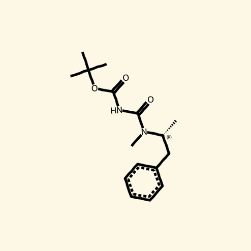 C[C@H](Cc1ccccc1)N(C)C(=O)NC(=O)OC(C)(C)C